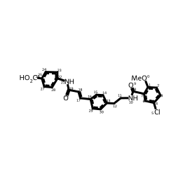 COc1ccc(Cl)cc1C(=O)NCCc1ccc(C=CC(=O)Nc2ccc(C(=O)O)cc2)cc1